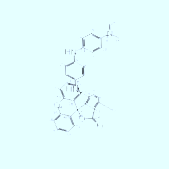 Cc1ccc(Nc2ccc(Nc3ccc(N(C)C)cc3)cc2)c2c1C(=O)OC21c2ccccc2Oc2ccccc21